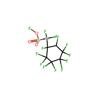 O=S(=O)(OF)[Si](F)(F)C1(F)C(F)C(F)(F)C(F)(F)C(F)(F)C1(F)F